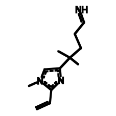 C=Cc1nc(C(C)(C)CCC=N)cn1C